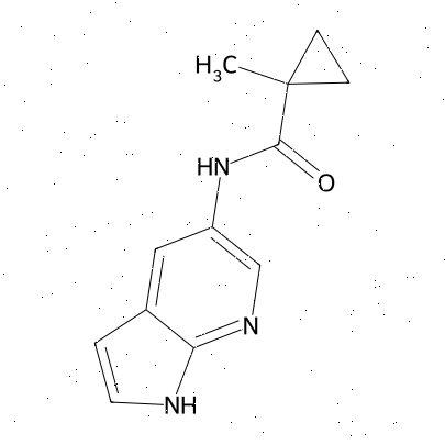 CC1(C(=O)Nc2cnc3[nH]ccc3c2)CC1